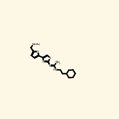 CC(=O)NCc1ccc(-c2csc(/N=C(\N)NCCC3CCCCC3)n2)o1